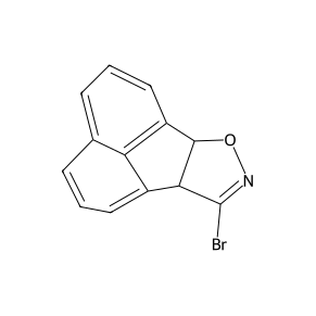 BrC1=NOC2c3cccc4cccc(c34)C12